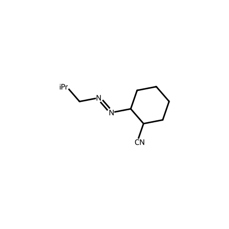 CC(C)CN=NC1CCCCC1C#N